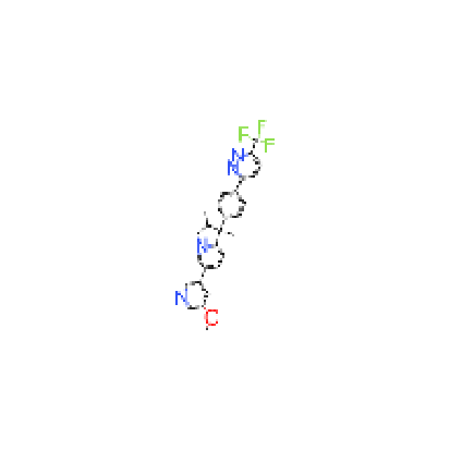 COc1cncc(-c2ccc(C(C)(c3ccc(-c4ccc(C(F)(F)F)nn4)cc3)C(C)C)nc2)c1